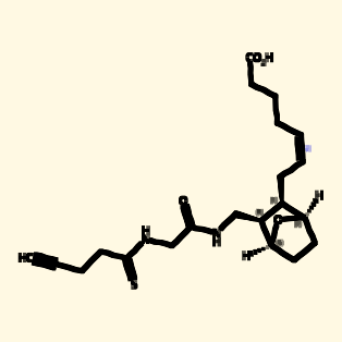 C#CCCC(=S)NCC(=O)NC[C@H]1[C@@H](C/C=C\CCCC(=O)O)[C@H]2CC[C@@H]1O2